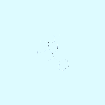 Cc1c(C(=O)O)ccc(C(C)c2ccccc2)c1C(=O)O